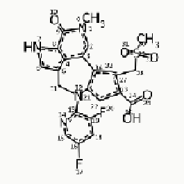 Cn1cc2c3c(c[nH]c3c1=O)CN(c1ncc(F)cc1F)c1cc(C(=O)O)c(CS(C)(=O)=O)cc1-2